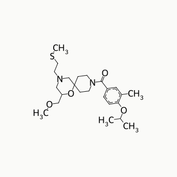 COCC1CN(CCSC)CC2(CCN(C(=O)c3ccc(OC(C)C)c(C)c3)CC2)O1